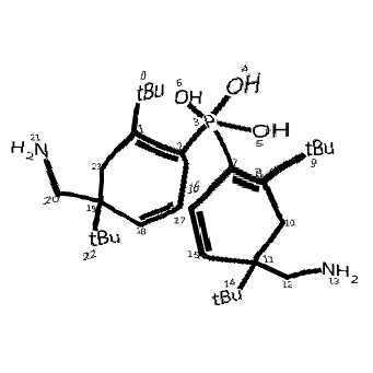 CC(C)(C)C1=C(P(O)(O)(O)C2=C(C(C)(C)C)CC(CN)(C(C)(C)C)C=C2)C=CC(CN)(C(C)(C)C)C1